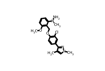 COc1cccc(N(C)N)c1COc1ccc(-c2nn(C)cc2C)cc1Cl